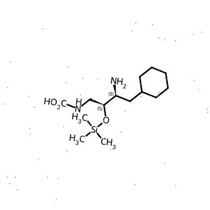 C[Si](C)(C)O[C@@H](CNC(=O)O)[C@@H](N)CC1CCCCC1